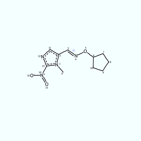 Cn1c(/C=N/OC2CCCC2)cnc1[N+](=O)[O-]